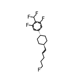 FCCCC=C[C@H]1CC[C@H](c2cc(F)c(C(F)F)c(F)c2)CC1